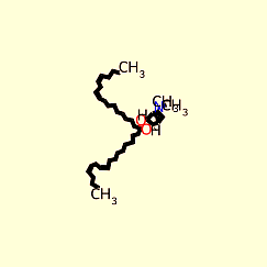 CCCC/C=C\C/C=C\CCCCCCCCC1(CCCCCCCC/C=C\C/C=C\CCCC)O[C@@H]2C3CC([C@@H]2O1)[C@@H](N(C)C)C3